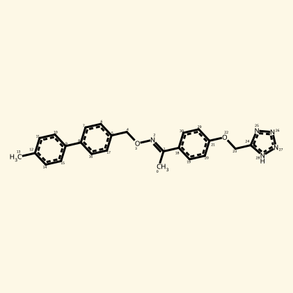 C/C(=N\OCc1ccc(-c2ccc(C)cc2)cc1)c1ccc(OCc2nnn[nH]2)cc1